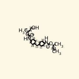 COCC(C)OC(=O)Nc1ccc(Cc2ccc(NC(=O)OC(C)CCO)cc2)cc1